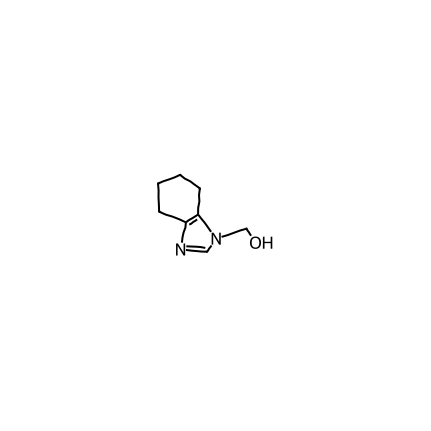 OCn1cnc2c1CCCC2